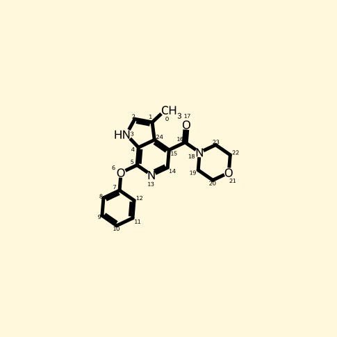 Cc1c[nH]c2c(Oc3ccccc3)ncc(C(=O)N3CCOCC3)c12